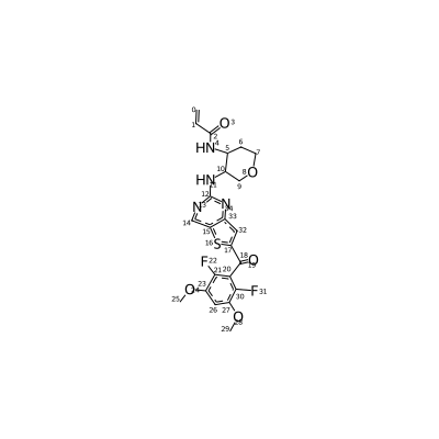 C=CC(=O)NC1CCOCC1Nc1ncc2sc(C(=O)c3c(F)c(OC)cc(OC)c3F)cc2n1